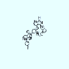 CN1CCC2CN(c3n[nH]c4nccc(Oc5ccc(NC(=O)c6ccnn(-c7ccc(F)cc7)c6=O)cc5F)c34)CC21